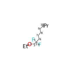 CCOCC(F)(F)CCCCC(C)C